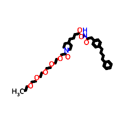 CCCOCCOCCOCCOCCOCC(=O)N1CCC(CCCC(=O)ONC(=O)Cc2ccc(CCCCc3ccccc3)cc2)CC1